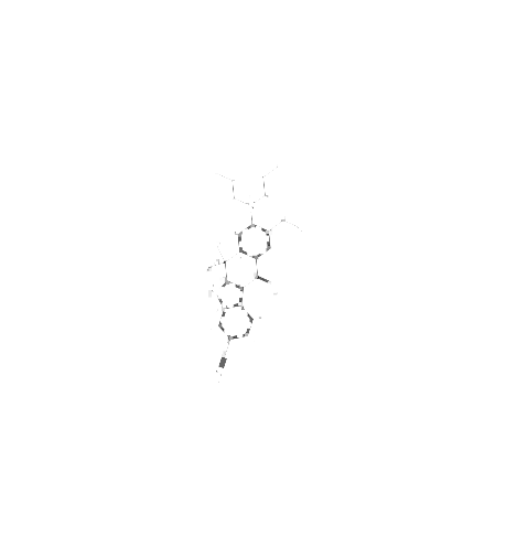 CCCN(CCC)c1cc2c(cc1CC)C(=O)c1c([nH]c3cc(C#N)ccc13)C2(C)C